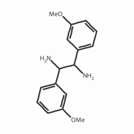 COc1cccc(C(N)C(N)c2cccc(OC)c2)c1